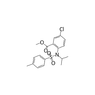 COC(=O)c1cc(Cl)ccc1N(C(C)C)S(=O)(=O)c1ccc(C)cc1